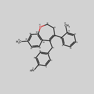 CCCc1ccc(CC2=C(c3ccccc3C)CCOc3cc(C)ccc32)cc1